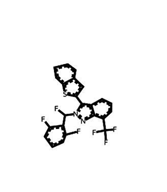 Fc1cccc(F)c1C(F)n1nc2c(C(F)(F)F)cccc2c1-c1cc2ccccc2s1